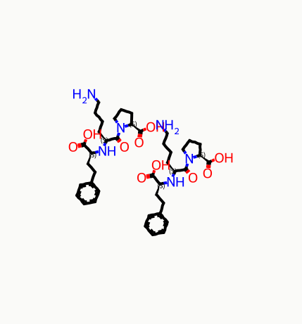 NCCCC[C@H](N[C@@H](CCc1ccccc1)C(=O)O)C(=O)N1CCC[C@H]1C(=O)O.NCCCC[C@H](N[C@@H](CCc1ccccc1)C(=O)O)C(=O)N1CCC[C@H]1C(=O)O